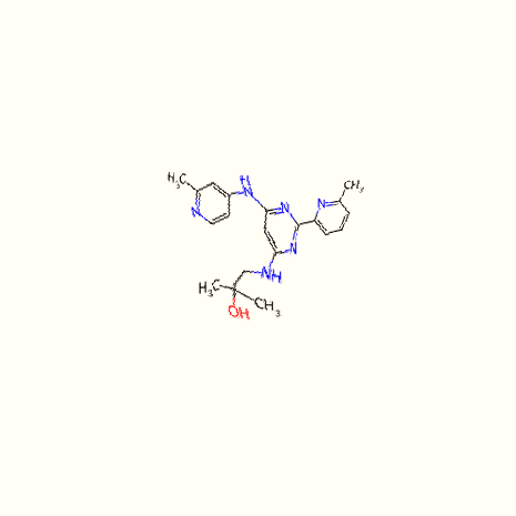 Cc1cc(Nc2cc(NCC(C)(C)O)nc(-c3cccc(C)n3)n2)ccn1